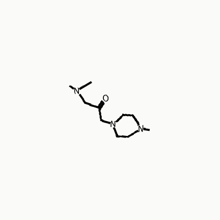 CN(C)CC(=O)CN1CCN(C)CC1